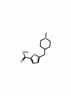 COC(=O)c1ccc(CC2CCN(C)CC2)s1